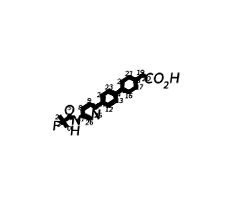 CC(C)(F)C(=O)Nc1ccc(-c2ccc(C3CCC(CC(=O)O)CC3)cc2)nc1